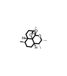 C[C@H]1[C@@H](C)O[C@@H]2O[C@]3(C)CC[C@H]4[C@H](C)CC[C@@H]1[C@@]24O3